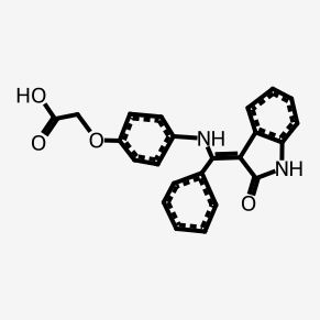 O=C(O)COc1ccc(NC(=C2C(=O)Nc3ccccc32)c2ccccc2)cc1